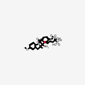 COc1ccc2c(c1)CC(C)(C(N)(CCCCC(O)(P(=O)(O)O)P(=O)(O)O)C(C)=O)N2C(=O)c1ccc(Cl)cc1